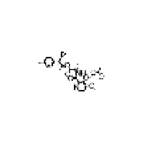 COc1ccnc(C(=O)N[C@@H](C)C(=O)O[C@@H](C)[C@H](c2ccc(C)cc2)C2CC2)c1OCOC(C)=O